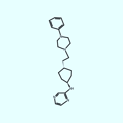 c1ccc(N2CCN(CC[C@H]3CC[C@H](Nc4cnccn4)CC3)CC2)cc1